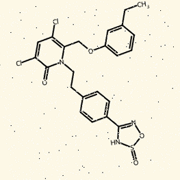 CCc1cccc(OCc2c(Cl)cc(Cl)c(=O)n2CCc2ccc(C3=NOS(=O)N3)cc2)c1